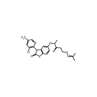 CC(C)=NOCCC(=O)C(C)Oc1ccc2sc(=O)n(-c3ncc(C(F)(F)F)cc3Cl)c2c1